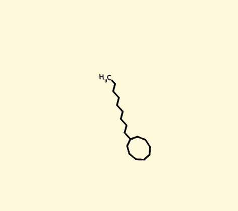 CCCCCCCCC[C]1CCCCCCCC1